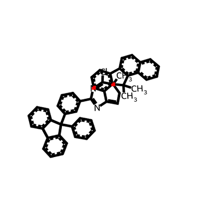 CC1C/C=C(c2cccc3c2C(C)(C)c2c-3ccc3ccccc23)/N=C(c2cccc(C3(c4ccccc4)c4ccccc4-c4ccccc43)c2)\N=C/1Cl